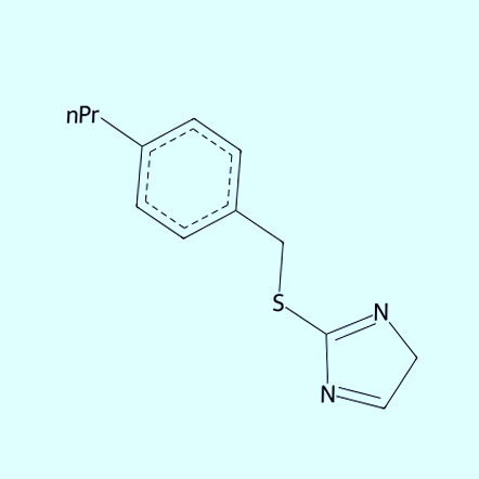 CCCc1ccc(CSC2=NCC=N2)cc1